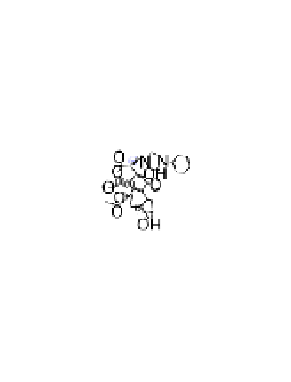 COC[C@H]1OC(=O)/C(=C/N2CCN(C3CCCCC3)CC2)C2=C(O)C(=O)C3=C([C@H](OC(C)=O)C[C@@]4(C)C3CC[C@@H]4O)[C@]21C